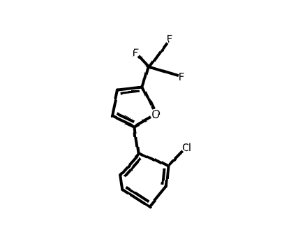 FC(F)(F)c1ccc(-c2ccccc2Cl)o1